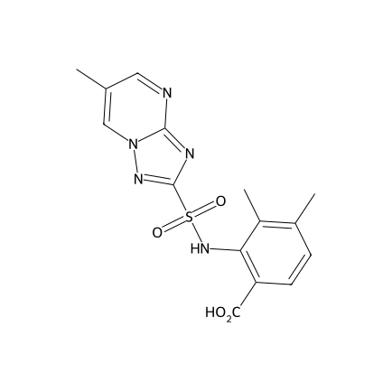 Cc1cnc2nc(S(=O)(=O)Nc3c(C(=O)O)ccc(C)c3C)nn2c1